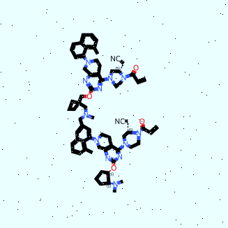 C=CC(=O)N1CCN(c2nc(OCC3(CN(C)Cc4cc(N5CCc6c(nc(O[C@H]7CCC[C@@H]7N(C)C)nc6N6CCN(C(=O)C=C)[C@@H](CC#N)C6)C5)c5c(C)cccc5c4)CCC3)nc3c2CCN(c2cccc4cccc(C)c24)C3)C[C@@H]1CC#N